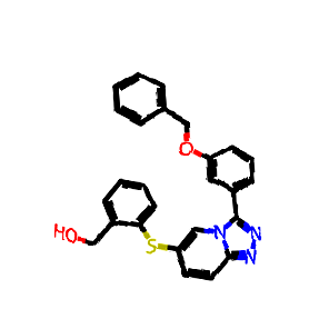 OCc1ccccc1Sc1ccc2nnc(-c3cccc(OCc4ccccc4)c3)n2c1